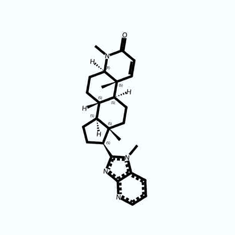 CN1C(=O)C=C[C@]2(C)[C@H]3CC[C@]4(C)[C@@H](c5nc6ncccc6n5C)CC[C@H]4[C@@H]3CC[C@@H]12